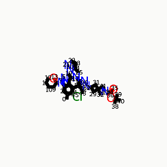 Cc1cc2c(cnn2C2CCCCO2)c(-c2c(N3CCn4nccc4C3)nn(C3CC4(C3)CN(C(=O)OC(C)(C)C)C4)c2C)c1Cl